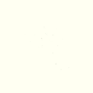 CC(C)(C)OC(=O)N1CCCC1(C)C(=O)OCc1ccccc1